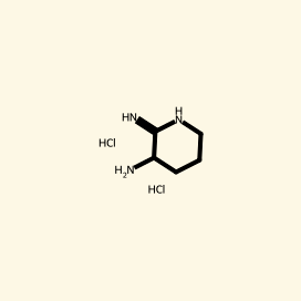 Cl.Cl.N=C1NCCCC1N